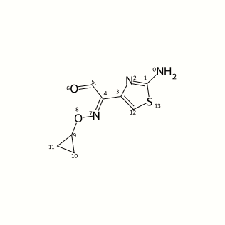 Nc1nc(C([C]=O)=NOC2CC2)cs1